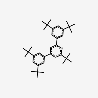 CC(C)(C)c1cc(-c2cc(-c3cc(C(C)(C)C)cc(C(C)(C)C)c3)nc(C(C)(C)C)n2)cc(C(C)(C)C)c1